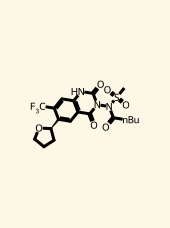 CCCCC(=O)N(n1c(=O)[nH]c2cc(C(F)(F)F)c([C@H]3CCCO3)cc2c1=O)S(C)(=O)=O